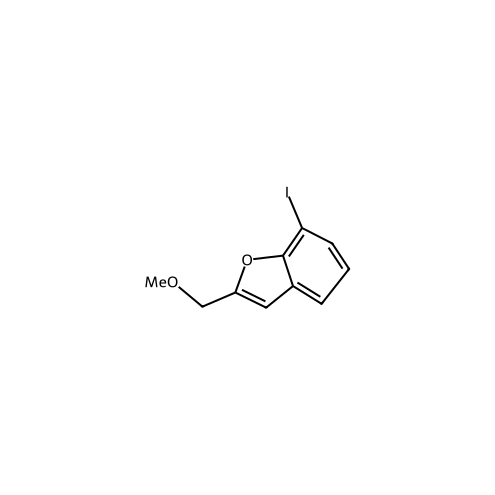 COCc1cc2cccc(I)c2o1